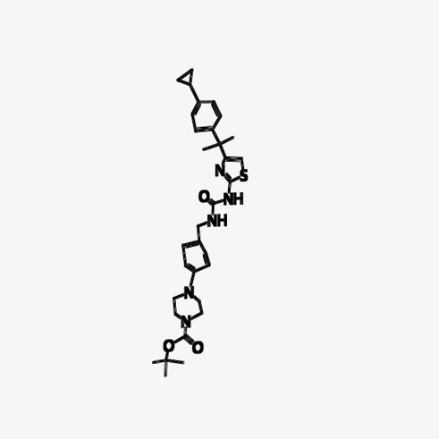 CC(C)(C)OC(=O)N1CCN(c2ccc(CNC(=O)Nc3nc(C(C)(C)c4ccc(C5CC5)cc4)cs3)cc2)CC1